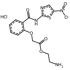 Cl.NCCOC(=O)COc1ccccc1C(=O)Nc1ncc([N+](=O)[O-])s1